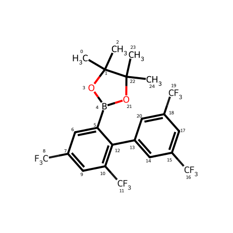 CC1(C)OB(c2cc(C(F)(F)F)cc(C(F)(F)F)c2-c2cc(C(F)(F)F)cc(C(F)(F)F)c2)OC1(C)C